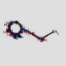 CCCCCCCCCCCCCCCC(=O)N[C@@H](CCC(=O)NCCOCCOCC(=O)NCCOCCOCC(=O)NCCCC[C@@H]1NC(=O)CCSCc2cccc(c2)CSC[C@@H](C(N)O)NC(=O)[C@]2(C)CCCN2C(=O)[C@H](Cc2ccc(O)cc2)NC(=O)[C@H](Cc2cnc[nH]2)NC(=O)[C@H](CC(=O)O)NC(=O)[C@H](Cc2c[nH]c3ccc(F)cc23)NC(=O)[C@H](Cc2c[nH]c3ccc(F)cc23)NC(=O)[C@@H](C)NC1=O)C(=O)O